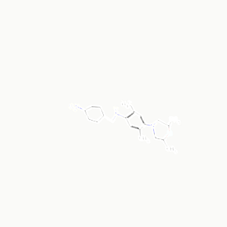 Cc1cc(N2CC(C)OC(C)C2)c(C)cc1NC[C@H]1CC[C@H](N)CC1